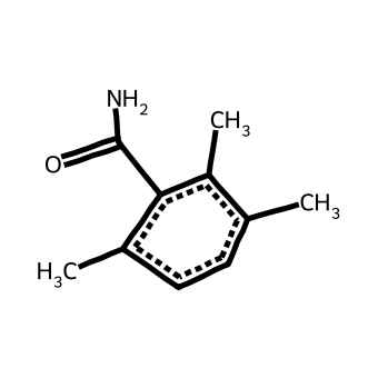 Cc1ccc(C)c(C(N)=O)c1C